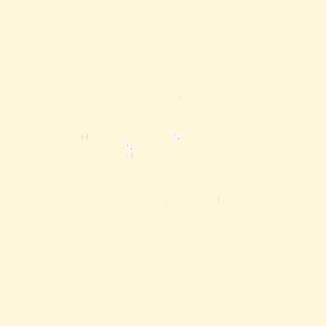 COCC(C)=C(C(=O)O)N1C(=O)C(NC(C)=O)C1Cl.c1cc2cc(c1)O2